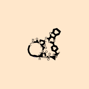 O=C1N[C@]2(C(=O)NS(=O)(=O)C3CC3)C[C@H]2/C=C\CCCCCNC(=O)N2C[C@H](Oc3nc(-c4ccc(C(F)(F)F)cc4)nc4c3oc3ccccc34)C[C@@H]12